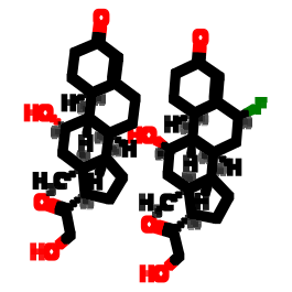 C[C@]12C[C@@H](O)[C@H]3[C@@H](C[C@H](F)C4=CC(=O)CC[C@@H]43)[C@@H]1CC[C@@H]2C(=O)CO.C[C@]12C[C@H](O)[C@H]3[C@@H](CCC4=CC(=O)CC[C@@H]43)[C@@H]1CC[C@@H]2C(=O)CO